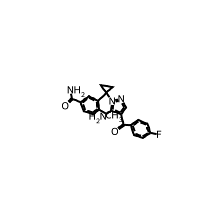 Cc1ccc(C(N)=O)cc1C1(n2ncc(C(=O)c3ccc(F)cc3)c2N)CC1